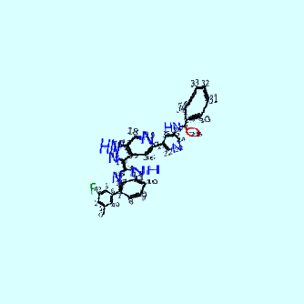 Cc1cc(F)cc(-c2cccc3[nH]c(-c4n[nH]c5cnc(-c6cncc(NC(=O)c7ccccc7)c6)cc45)nc23)c1